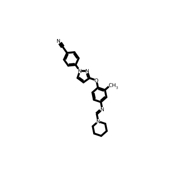 Cc1cc(/N=C/N2CCCCC2)ccc1Oc1ccn(-c2ccc(C#N)cc2)n1